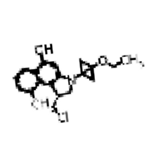 CCOC12CC1(N1C[C@@H](CCl)c3c1cc(O)c1cccc(C)c31)C2